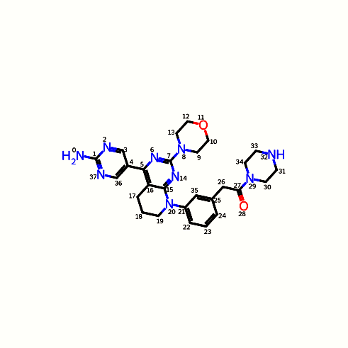 Nc1ncc(-c2nc(N3CCOCC3)nc3c2CCCN3c2cccc(CC(=O)N3CCNCC3)c2)cn1